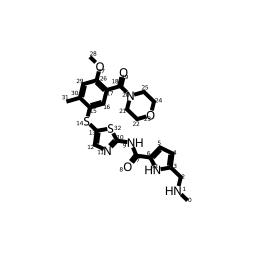 CNCc1ccc(C(=O)Nc2ncc(Sc3cc(C(=O)N4CCOCC4)c(OC)cc3C)s2)[nH]1